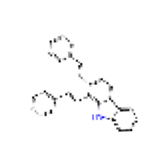 C(=Cc1ccc2c([nH]c3ccccc32)c1C=Cc1ccccc1)c1ccccc1